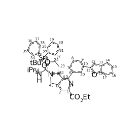 CCOC(=O)c1cc2c(c(-c3cccc(-c4cc5ccccc5o4)c3)n1)[C@@H](CCO[Si](c1ccccc1)(c1ccccc1)C(C)(C)C)N(C(=O)NC(C)C)C2